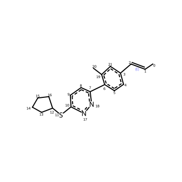 C/C=C/c1ccc(-c2ccc(SC3CCCC3)nn2)c(C)c1